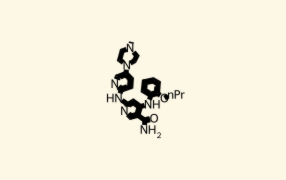 CCCOc1ccccc1Nc1cc(Nc2ccc(N3CCN(C)CC3)cn2)ncc1C(N)=O